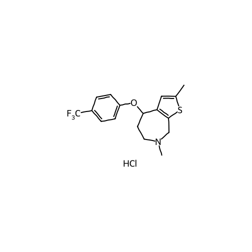 Cc1cc2c(s1)CN(C)CCC2Oc1ccc(C(F)(F)F)cc1.Cl